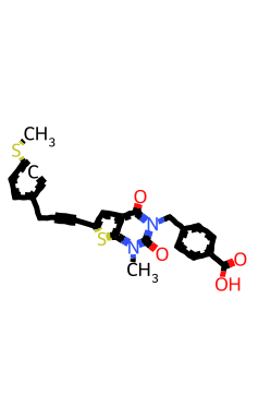 CSc1ccc(CC#Cc2cc3c(=O)n(Cc4ccc(C(=O)O)cc4)c(=O)n(C)c3s2)cc1